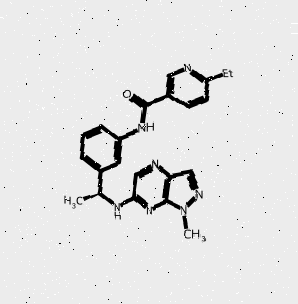 CCc1ccc(C(=O)Nc2cccc([C@H](C)Nc3cnc4cnn(C)c4n3)c2)cn1